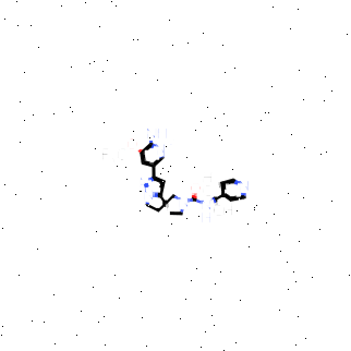 CC(C)(NC(=O)N1CC[C@@]2(CCn3nc(-c4cnc(N)c(OC(F)(F)F)c4)cc32)C1)c1ccncc1